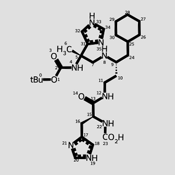 CC(C)(C)OC(=O)N[C@@](C)(CN[C@@H](CCNC(=O)[C@H](Cc1c[nH]cn1)NC(=O)O)CC1CCCCC1)c1c[nH]cn1